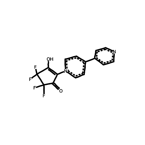 O=C1C([n+]2ccc(-c3ccncc3)cc2)=C(O)C(F)(F)C1(F)F